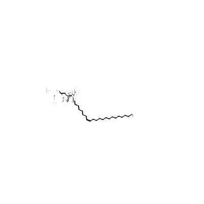 CCCCCCCCCCCCCC/C=C\CCCCCCCOP(=O)(O)C(CCC)[N+](C)(C)C